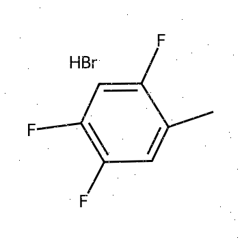 Br.Cc1cc(F)c(F)cc1F